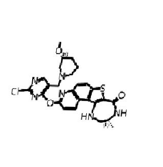 CO[C@@H]1CCCN(Cc2cnc(Cl)nc2Oc2ccc3c(ccc4sc5c(c43)NC[C@@H](C)NC5=O)n2)C1